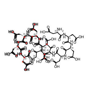 N[C@@H](CC(=O)O)C(=O)N[C@@H](CC(=O)O)C(=O)N[C@@H](CC(=O)O)C(=O)N[C@@H](CC(=O)O)C(=O)N[C@@H](CC(=O)O)C(=O)N[C@@H](CC(=O)O)C(=O)N[C@@H](CC(=O)O)C(=O)N[C@@H](CC(=O)O)C(=O)N[C@@H](CC(=O)O)C(=O)N[C@@H](CC(=O)O)C(=O)N[C@@H](CC(=O)O)C(=O)N[C@@H](CC(=O)O)C(=O)N[C@@H](CC(=O)O)C(=O)N[C@@H](CC(=O)O)C(=O)N[C@@H](CC(=O)O)C(=O)N[C@@H](CC(=O)O)C(=O)O